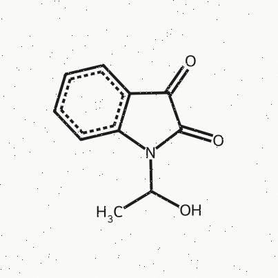 CC(O)N1C(=O)C(=O)c2ccccc21